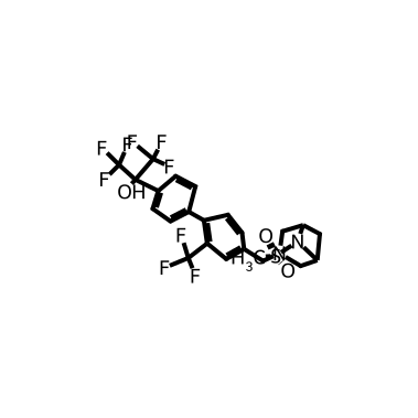 CS(=O)(=O)N1C2CC1CN(Cc1ccc(-c3ccc(C(O)(C(F)(F)F)C(F)(F)F)cc3)c(C(F)(F)F)c1)C2